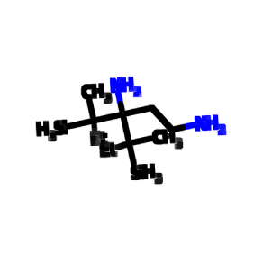 CCC(C)([SiH3])C(N)(CCN)C(C)([SiH3])CC